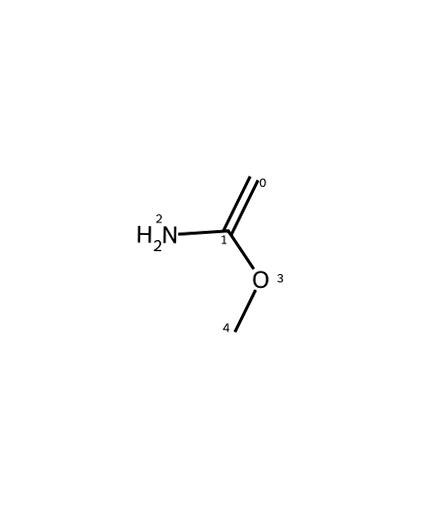 C=C(N)OC